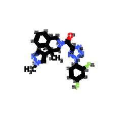 Cn1cc(C2(C)CN(C(=O)c3nnn(-c4ccc(F)cc4F)n3)Cc3ccccc32)cn1